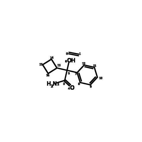 C=C.NC(=O)C(O)(c1ccccc1)C1CCC1